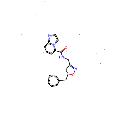 O=C(NCC1=NOC(Cc2ccccc2)C1)c1cccc2nccn12